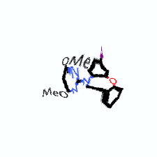 COc1cc(OC)nc(N2Cc3ccccc3Oc3cc(I)ccc32)n1